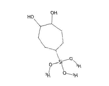 [3H]O[Si](O[3H])(O[3H])C1CCC(O)C(O)CC1